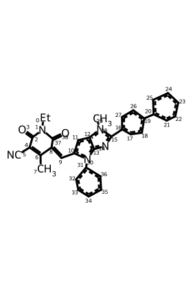 CCN1C(=O)C(C#N)=C(C)/C(=C/c2cc3c(nc(-c4ccc(-c5ccccc5)cc4)n3C)n2-c2ccccc2)C1=O